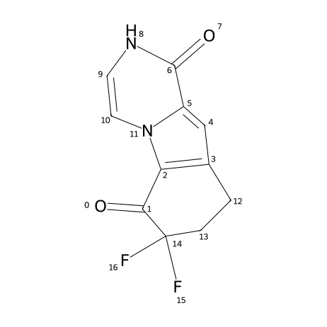 O=C1c2c(cc3c(=O)[nH]ccn23)CCC1(F)F